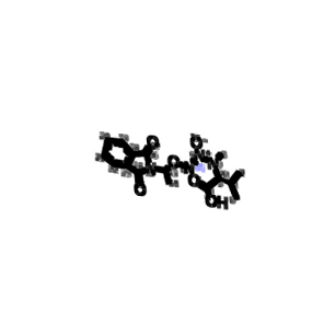 CC(C)[C@@H](C(=O)O)N(C)/[N+]([O-])=N/OC(C)N1C(=O)c2ccccc2C1=O